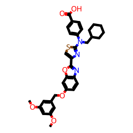 COc1cc(COc2ccc3nc(-c4csc(N(CC5CCCCC5)c5ccc(C(=O)O)cc5)n4)oc3c2)cc(OC)c1